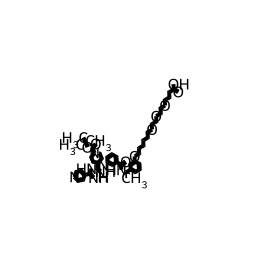 C[C@@H](NC(=O)c1cccc(NC2(C(=N)NC(=N)c3ccncc3)CCN(C(=O)OC(C)(C)C)CC2)c1)c1cccc(OCCCCCCOCCOCCOCCCC(=O)O)c1